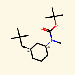 CN(C(=O)OC(C)(C)C)[C@@H]1CCC[C@@H](CC(C)(C)C)C1